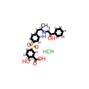 C[C@H](Cc1ccc(S(=O)(=O)c2ccc(O)c(C(=O)O)c2)cc1)NC[C@@H](O)c1ccccc1.Cl